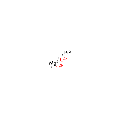 [Mg+2].[O-2].[O-2].[Pt+2]